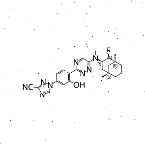 CN(c1cnc(-c2ccc(-n3cnc(C#N)n3)cc2O)nn1)[C@@H]1C[C@@]2(C)CCC[C@](C)(C2)[C@@H]1F